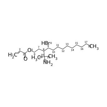 Br.C=CC(=O)OCCC(CCCCCCCCCC)C(C)(C)N